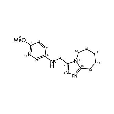 COc1ccc(NCc2nnc3n2CCCCC3)cn1